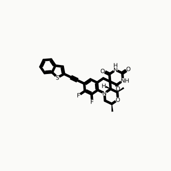 C[C@H]1CN2c3c(cc(C#Cc4cc5ccccc5s4)c(F)c3F)CC3(C(=O)NC(=O)NC3=O)[C@@H]2[C@@H](C)O1